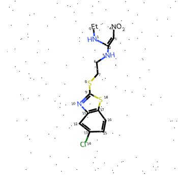 CCNC(=C[N+](=O)[O-])NCCSc1nc2cc(Cl)ccc2s1